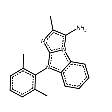 Cc1cccc(C)c1-n1c2ccccc2n2c(N)c(C)nc12